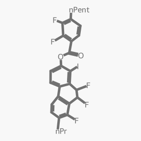 CCCCCc1ccc(C(=O)Oc2ccc3c(c2I)C(F)C(F)c2c-3ccc(CCC)c2F)c(F)c1F